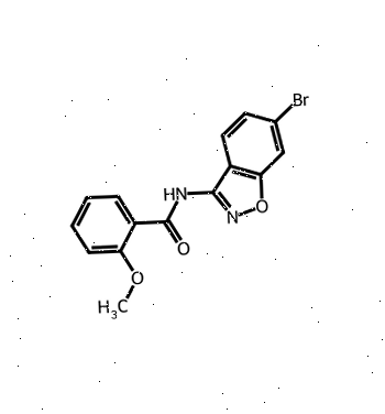 COc1ccccc1C(=O)Nc1noc2cc(Br)ccc12